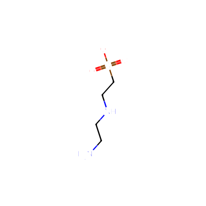 NCCNCCS(=O)(=O)O